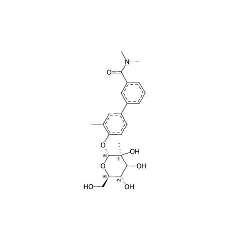 Cc1cc(-c2cccc(C(=O)N(C)C)c2)ccc1O[C@H]1O[C@H](CO)[C@@H](O)C(O)[C@]1(C)O